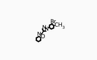 Cc1ccc(-n2cc(-c3nc4ccccc4o3)cn2)cc1Br